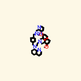 COc1ccccc1CN(CCN(Cc1ccc(CNCc2ccccn2)cc1)C1CCCc2cccnc21)Cc1ccccc1OC